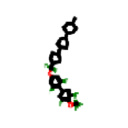 CC1CCC(C2CCC(C3CCC(C(F)(F)Oc4cc(F)c(-c5cc(F)c(OC(F)(F)F)c(F)c5)c(F)c4)CC3)CC2)CC1